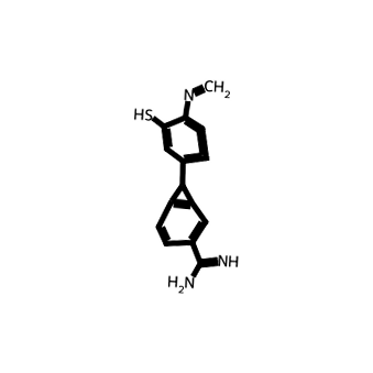 C=NC1=C=C=C(C2c3ccc(C(=N)N)cc32)C=C1S